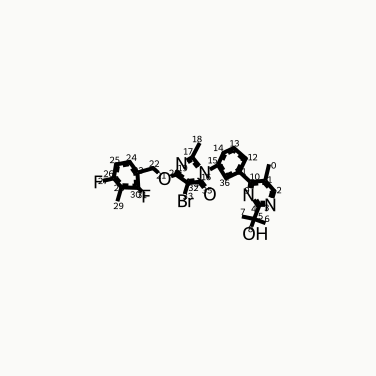 Cc1cnc(C(C)(C)O)nc1-c1cccc(-n2c(C)nc(OCc3ccc(F)c(C)c3F)c(Br)c2=O)c1